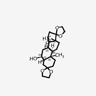 C[C@@]12CCC3(C[C@@H]1[C@@H](O)C[C@H]1[C@H]2CC[C@]2(C)[C@@H]1CCC21OCCO1)OCCO3